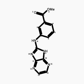 COC(=O)c1cccc(Nc2nc3nccnc3[nH]2)c1